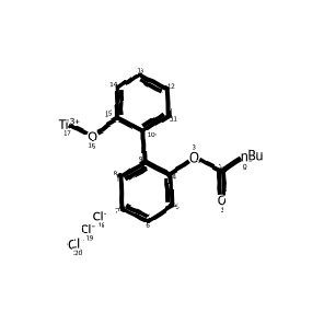 CCCCC(=O)Oc1ccccc1-c1ccccc1[O][Ti+3].[Cl-].[Cl-].[Cl-]